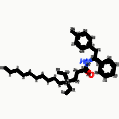 CCCCCCCCCC[Si](CC)(CC)CCC(=O)NC(Cc1ccc(C)cc1)c1ccccc1